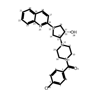 O=C(c1ccc(Cl)cc1)N1CCN([C@H]2CN(c3ccc4ccccc4n3)C[C@@H]2O)CC1